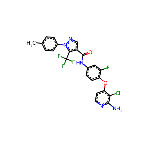 Cc1ccc(-n2ncc(C(=O)Nc3ccc(Oc4ccnc(N)c4Cl)c(F)c3)c2C(F)(F)F)cc1